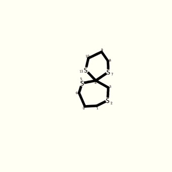 C1CSCC2(SC1)SCCCS2